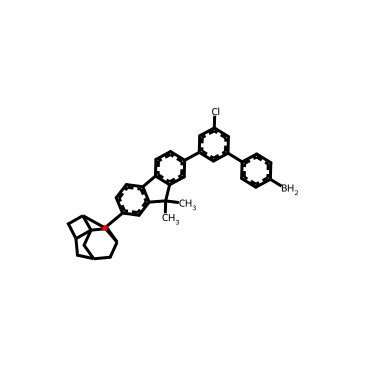 Bc1ccc(-c2cc(Cl)cc(-c3ccc4c(c3)C(C)(C)c3cc(C5C6CC7CC8CC5C8(C7)C6)ccc3-4)c2)cc1